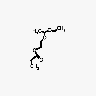 CCOC(C)OCCOC(=O)CC